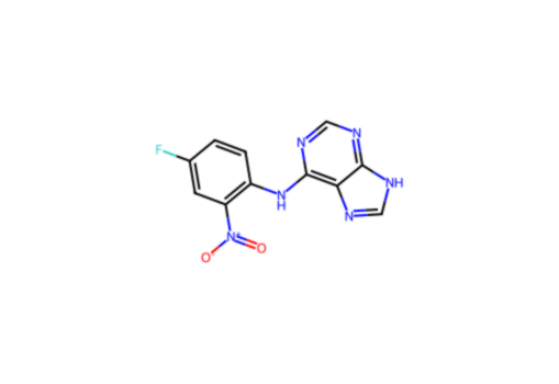 O=[N+]([O-])c1cc(F)ccc1Nc1ncnc2[nH]cnc12